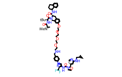 CN[C@@H](C)C(=O)N[C@H](C(=O)N1Cc2cc(OCCOCCOCCOCCNCc3ccc(-n4cc(NC(=O)N5C=COC5c5ccnc(NCC6CC6)c5)c(C(F)F)n4)cc3)ccc2C[C@H]1C(=O)N[C@@H]1CCCc2ccccc21)C(C)(C)C